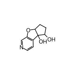 OC1CCC2Oc3cnccc3C12O